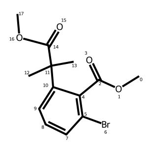 COC(=O)c1c(Br)cccc1C(C)(C)C(=O)OC